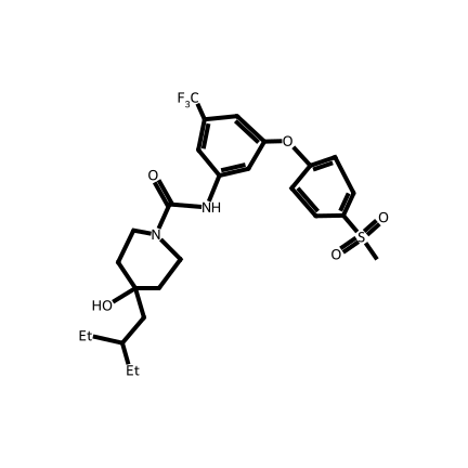 CCC(CC)CC1(O)CCN(C(=O)Nc2cc(Oc3ccc(S(C)(=O)=O)cc3)cc(C(F)(F)F)c2)CC1